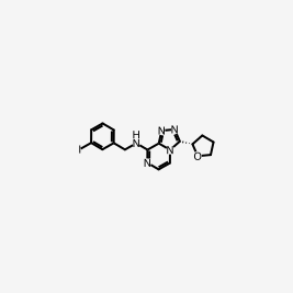 Ic1cccc(CNc2nccn3c([C@@H]4CCCO4)nnc23)c1